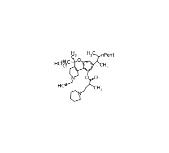 C#CCN1CCC2=C(C1)c1c(OC(=O)C(C)CCN3CCCCC3)cc(C(C)C(C)CCCCC)cc1OC2(C)C.Cl.Cl